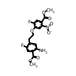 COC(=O)c1cc(F)c(CCOc2cc([N+](=O)[O-])c(C(=O)OC)cc2F)cc1N